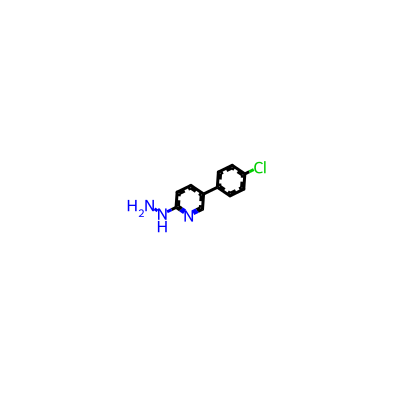 NNc1ccc(-c2ccc(Cl)cc2)cn1